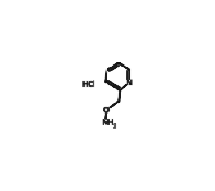 Cl.NOCc1ccccn1